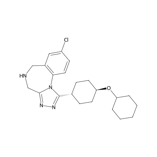 Clc1ccc2c(c1)CNCc1nnc([C@H]3CC[C@H](OC4CCCCC4)CC3)n1-2